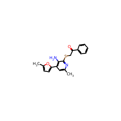 Cc1cc(-c2ccc(C)o2)c(N)c(SCC(=O)c2ccccc2)n1